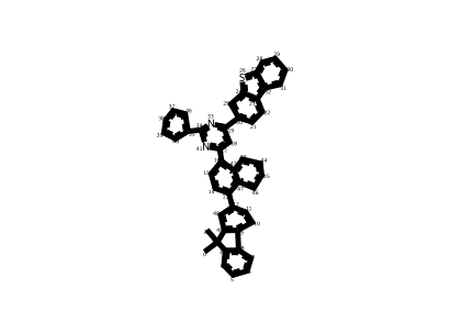 CC1(C)c2ccccc2-c2ccc(-c3ccc(-c4cc(-c5ccc6c(c5)sc5ccccc56)nc(-c5ccccc5)n4)c4ccccc34)cc21